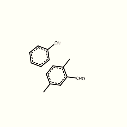 Cc1ccc(C)c(C=O)c1.Oc1ccccc1